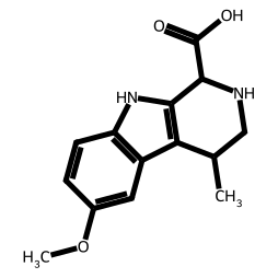 COc1ccc2[nH]c3c(c2c1)C(C)CNC3C(=O)O